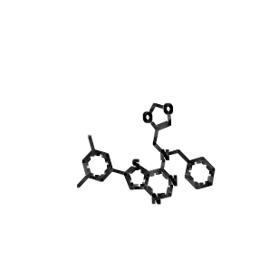 Cc1cc(C)cc(-c2cc3ncnc(N(CC4=COCO4)Cc4ccccc4)c3s2)c1